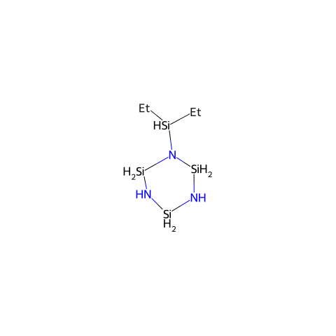 CC[SiH](CC)N1[SiH2]N[SiH2]N[SiH2]1